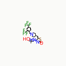 CC(C)(CO)CNC1=NC(=O)SC1=CC1CCN(Cc2ccc(C(F)(F)F)cc2C(F)(F)F)CC1